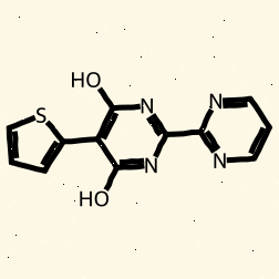 Oc1nc(-c2ncccn2)nc(O)c1-c1cccs1